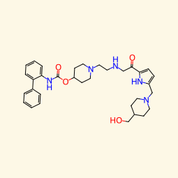 O=C(Nc1ccccc1-c1ccccc1)OC1CCN(CCNCC(=O)c2ccc(CN3CCC(CO)CC3)[nH]2)CC1